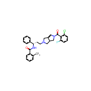 O=C(N[C@@H](CCN1CC2=CN(C(=O)c3c(F)cccc3Cl)CC2C1)c1ccccc1)c1ccccc1C(F)(F)F